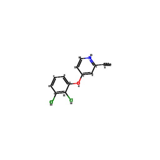 CSc1[c]c(Oc2cccc(Cl)c2Cl)ccn1